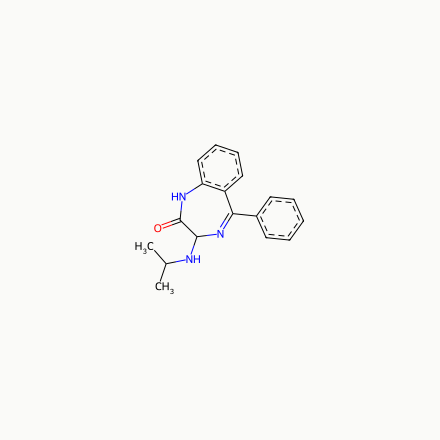 CC(C)NC1N=C(c2ccccc2)c2ccccc2NC1=O